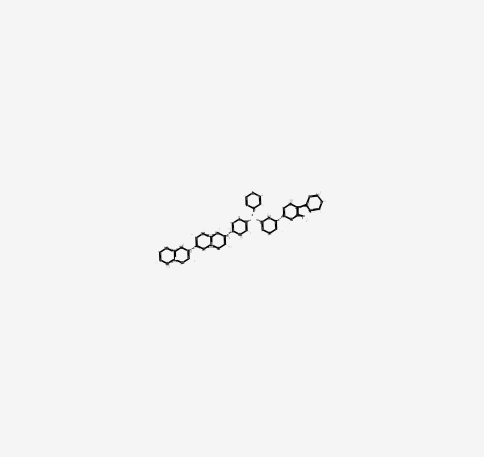 c1ccc(N(c2ccc(-c3ccc4cc(-c5ccc6ccccc6c5)ccc4c3)cc2)c2cccc(-c3ccc4c(c3)sc3ccccc34)c2)cc1